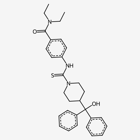 CCN(CC)C(=O)c1ccc(NC(=S)N2CCC(C(O)(c3ccccc3)c3ccccc3)CC2)cc1